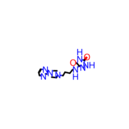 O=c1[nH]nc(NCCCCN2CCN(c3ncccn3)CC2)c(=O)[nH]1